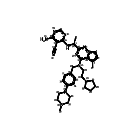 Cc1ccn2nc([C@H](C)Nc3ncnc(N)c3C#N)nc(N(CCN3CCCC3)Cc3ccc(N4CCN(C)CC4)cc3)c12